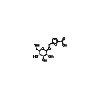 O=C(O)c1ccc(CO[C@@H]2O[C@H](CO)[C@@H](O)[C@H](O)[C@H]2O)o1